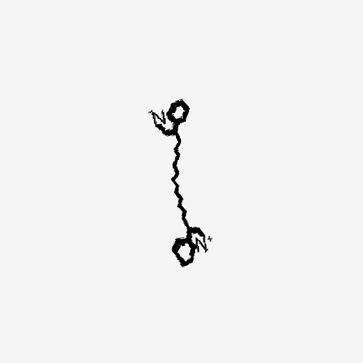 C[n+]1ccc(CCCCCCCCCCCCc2cc[n+](C)c3ccccc23)c2ccccc21